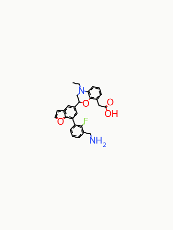 CCN1CC(c2cc(-c3cccc(CN)c3F)c3occc3c2)Oc2c(CC(=O)O)cccc21